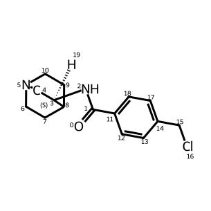 O=C(N[C@@H]1CN2CCC1CC2)c1ccc(CCl)cc1